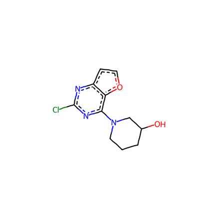 OC1CCCN(c2nc(Cl)nc3ccoc23)C1